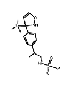 CC(CNS(=O)(=O)C(C)C)c1ccc(C2([Si](C)(C)C)C=CON2)cc1